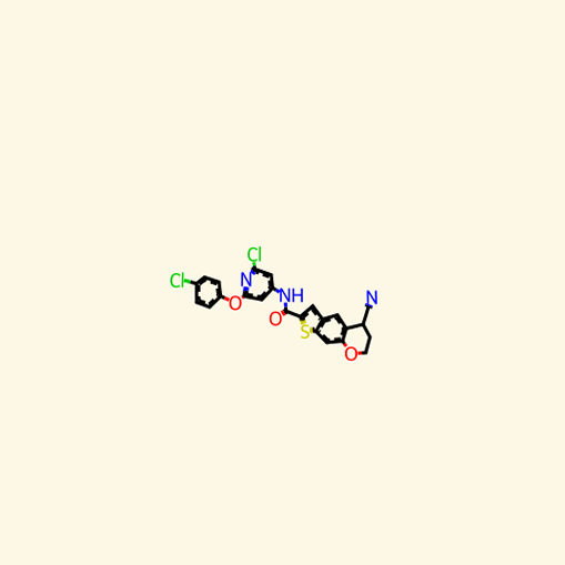 N#CC1CCOc2cc3sc(C(=O)Nc4cc(Cl)nc(Oc5ccc(Cl)cc5)c4)cc3cc21